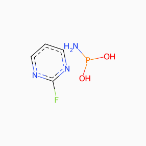 Fc1ncccn1.NP(O)O